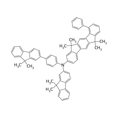 CC1(C)c2ccccc2-c2ccc(-c3ccc(N(c4ccc5c(c4)C(C)(C)c4ccccc4-5)c4ccc5c(c4)C(C)(C)c4cc6c(cc4-5)C(C)(C)c4cccc(-c5ccccc5)c4-6)cc3)cc21